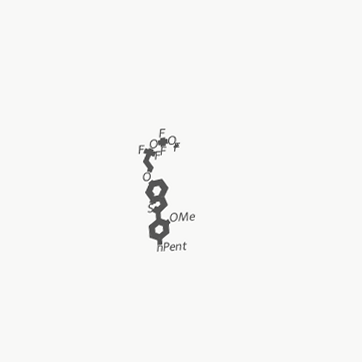 CCCCCc1ccc(-c2cc3ccc(OCCC(F)(F)OC(F)(F)OF)cc3s2)c(OC)c1